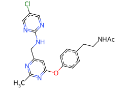 CC(=O)NCCc1ccc(Oc2cc(CNc3ncc(Cl)cn3)nc(C)n2)cc1